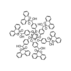 O=P1(C(O)c2ccc(OP3(Oc4ccc(C(O)P5(=O)Oc6ccccc6-c6ccccc65)cc4)=NP(Oc4ccc(C(O)P5(=O)Oc6ccccc6-c6ccccc65)cc4)(Oc4ccc(C(O)P5(=O)Oc6ccccc6-c6ccccc65)cc4)=NP(Oc4ccc(C(O)P5(=O)Oc6ccccc6-c6ccccc65)cc4)(Oc4ccc(C(O)P5(=O)Oc6ccccc6-c6ccccc65)cc4)=N3)cc2)Oc2ccccc2-c2ccccc21